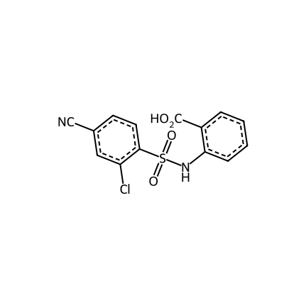 N#Cc1ccc(S(=O)(=O)Nc2ccccc2C(=O)O)c(Cl)c1